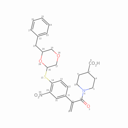 C=C(C(=O)N1CCC(C(=O)O)CC1)c1ccc(SC2COCC(Cc3ccccc3)O2)c([N+](=O)[O-])c1